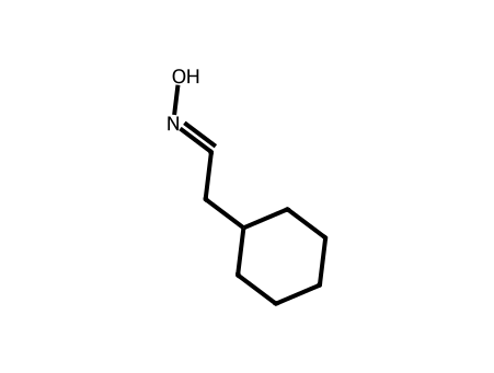 ON=CCC1CCCCC1